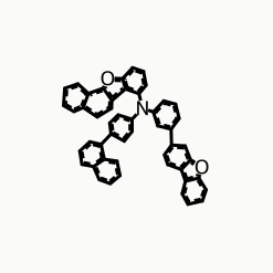 c1cc(-c2ccc3c(c2)oc2ccccc23)cc(N(c2ccc(-c3cccc4ccccc34)cc2)c2cccc3oc4c5ccccc5ccc4c23)c1